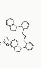 C1=CC(c2ccccc2CSCc2ccccc2C2C=Cc3ccccc32)c2ccccc21.[CH3][Zr]([CH3])[CH3]